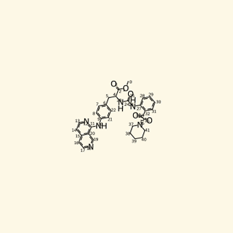 COC(=O)C(Cc1ccc(Nc2nccc3ccncc23)cc1)NC(=O)Nc1ccccc1S(=O)(=O)N1CCCCC1